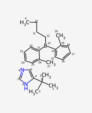 CC(C)(C)c1cnc[nH]1.CCCCB(c1ccccc1C)c1ccccc1C